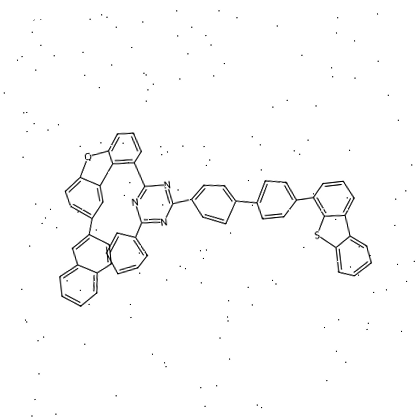 c1ccc(-c2nc(-c3ccc(-c4ccc(-c5cccc6c5sc5ccccc56)cc4)cc3)nc(-c3cccc4oc5ccc(-c6ccc7ccccc7c6)cc5c34)n2)cc1